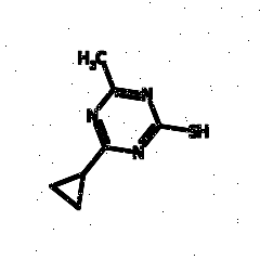 Cc1nc(S)nc(C2CC2)n1